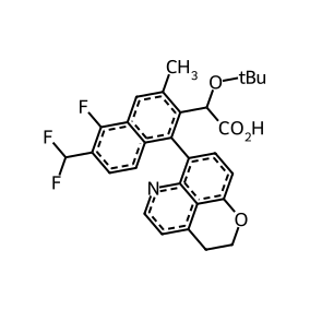 Cc1cc2c(F)c(C(F)F)ccc2c(-c2ccc3c4c(ccnc24)CCO3)c1C(OC(C)(C)C)C(=O)O